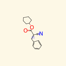 N#C/C(=C\c1ccccc1)C(=O)OC1CCCCC1